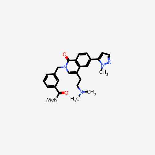 CNC(=O)c1cccc(Cn2cc(CCN(C)C)c3cc(-c4ccnn4C)ccc3c2=O)c1